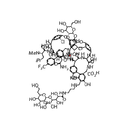 CN[C@H](CC(C)C)C(=O)N[C@H]1C(=O)N[C@@H](CC(N)=O)C(=O)N[C@H]2C(=O)N[C@@H]3C(=O)N[C@H](C(=O)N[C@H](C(=O)O)c4cc(O)c(CNCCCNC(=O)[C@H](O)[C@@H](O)[C@H](O[C@@H]5OC(CCO)[C@H](O)[C@H](O)C5O)[C@H](O)CO)c(O)c4-c4cc3ccc4O)[C@H](O)c3ccc(c(Cl)c3)Oc3cc2cc(c3O[C@@H]2O[C@H](CO)C(O)C(O)[C@H]2O[C@H](O)CC2(NCc3ccc(-c4ccc(C(F)(F)F)cc4)cc3)C[C@@H](C)[C@@H]2O)Oc2ccc(cc2Cl)[C@H]1O